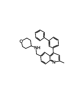 Cc1cc(-c2cccc(-c3ccccc3)c2)c2cc(CNC3CCOCC3)ccc2n1